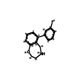 Fc1cccc(-c2ccnc3c2CNCCO3)c1